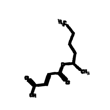 CCCCC(C)OC(=O)C=CC(=O)O